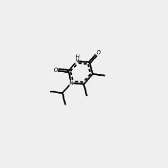 Cc1c(C)n(C(C)C)c(=O)[nH]c1=O